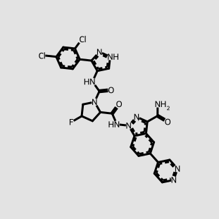 NC(=O)c1nn(NC(=O)C2CC(F)CN2C(=O)Nc2c[nH]nc2-c2ccc(Cl)cc2Cl)c2ccc(-c3ccnnc3)cc12